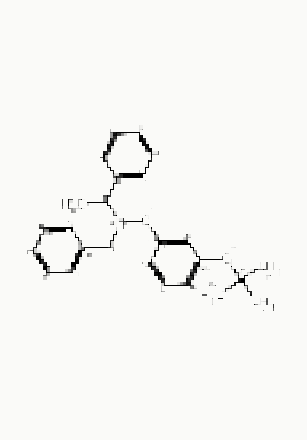 CC(c1ccccc1)N(Cc1ccccc1)Oc1cccc(OC(C)(C)C)c1